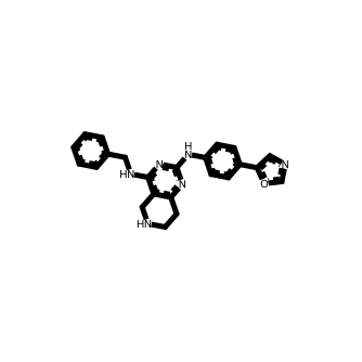 c1ccc(CNc2nc(Nc3ccc(-c4cnco4)cc3)nc3c2CNCC3)cc1